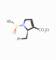 CCOC(=O)C1=CCN([S@+]([O-])C(C)(C)C)[C@@H]1CC(C)C